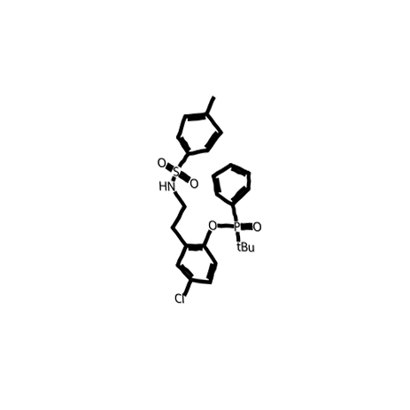 Cc1ccc(S(=O)(=O)NCCc2cc(Cl)ccc2OP(=O)(c2ccccc2)C(C)(C)C)cc1